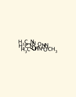 Cc1nnc(NC(=O)c2ccc(C)n3c(C(C)C)nnc23)o1